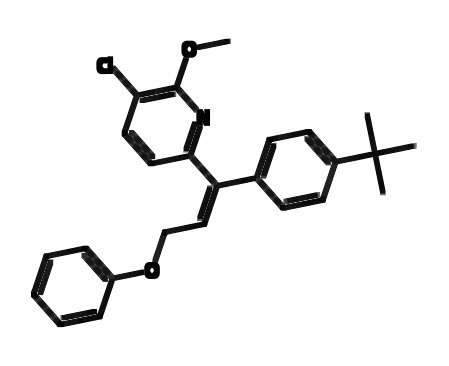 COc1nc(/C(=C\COc2ccccc2)c2ccc(C(C)(C)C)cc2)ccc1Cl